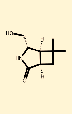 CC1(C)C[C@H]2C(=O)N[C@H](CO)[C@H]21